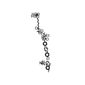 CC[C@@H]([C@H](C)OC(=O)OC(C)OC(=O)CCCCCCOP(=O)(O)O)n1ncn(-c2ccc(N3CCN(c4ccc(OC[C@@H]5CO[C@@](Cn6cncn6)(c6ccc(F)cc6F)C5)cc4)CC3)cc2)c1=O